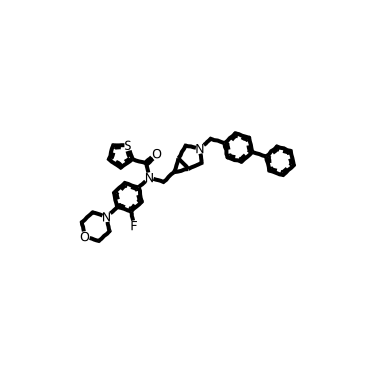 O=C(c1cccs1)N(CC1C2CN(Cc3ccc(-c4ccccc4)cc3)CC21)c1ccc(N2CCOCC2)c(F)c1